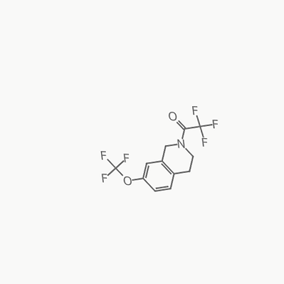 O=C(N1CCc2ccc(OC(F)(F)F)cc2C1)C(F)(F)F